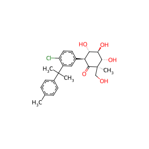 Cc1ccc(C(C)(C)c2cc([C@@H]3C(=O)[C@](C)(CO)[C@@H](O)[C@H](O)[C@H]3O)ccc2Cl)cc1